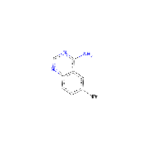 CC(C)c1ccc2ncnc(N)c2c1